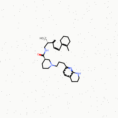 C=C(/C=C\C1=C(C)CCCC1)[C@H](CNC(=O)[C@@H]1CCCN(CCCc2ccc3c(n2)NCCC3)C1)C(=O)O